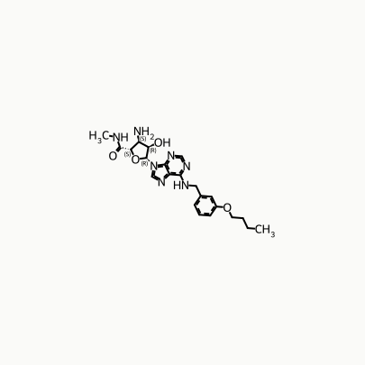 CCCCOc1cccc(CNc2ncnc3c2ncn3[C@@H]2O[C@H](C(=O)NC)[C@@H](N)[C@H]2O)c1